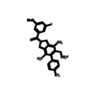 COc1cc(F)cc(C(=O)N2Cc3c(C)c(CC(=O)O)c(-c4ccc(C)cc4)c(C)c3C2)c1